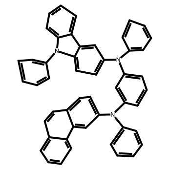 c1ccc(N(c2cccc(N(c3ccccc3)c3ccc4c(c3)c3ccccc3n4-c3ccccc3)c2)c2ccc3ccc4ccccc4c3c2)cc1